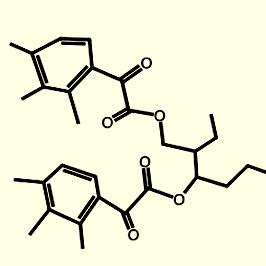 CCCC(OC(=O)C(=O)c1ccc(C)c(C)c1C)C(CC)COC(=O)C(=O)c1ccc(C)c(C)c1C